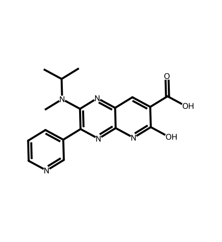 CC(C)N(C)c1nc2cc(C(=O)O)c(O)nc2nc1-c1cccnc1